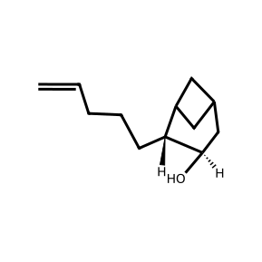 C=CCCC[C@@H]1C2CC(C2)C[C@H]1O